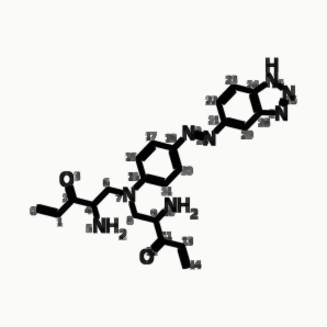 C=CC(=O)C(N)CN(CC(N)C(=O)C=C)c1ccc(N=Nc2ccc3[nH]nnc3c2)cc1